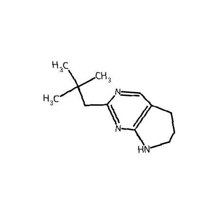 CC(C)(C)Cc1ncc2c(n1)NCCC2